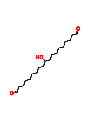 O=CCCCCCCCCC(O)CCCCCCCCC=O